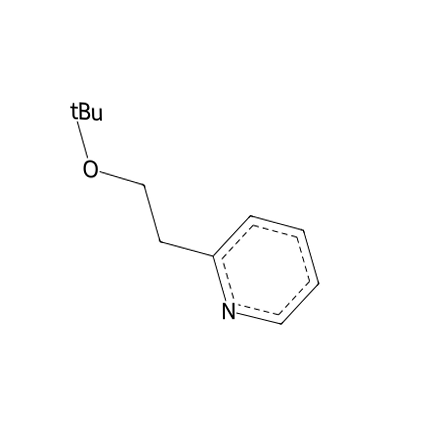 CC(C)(C)OCCc1ccccn1